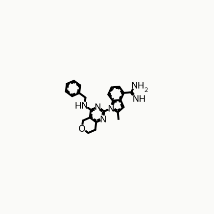 Cc1cc2c(C(=N)N)cccc2n1-c1nc2c(c(NCc3ccccc3)n1)COCC2